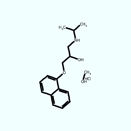 CC(C)NCC(O)COc1cccc2ccccc12.CO.Cl